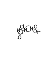 COc1cnc(Cl)c(N2CCCN(C(=O)OC(C)(C)C)CC2)c1